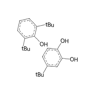 CC(C)(C)c1ccc(O)c(O)c1.CC(C)(C)c1cccc(C(C)(C)C)c1O